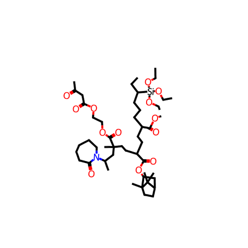 CCO[Si](OCC)(OCC)C(CC)CCCC(CCC(CCC(C)(CC(C)N1CCCCCC1=O)C(=O)OCCOC(=O)CC(C)=O)C(=O)OC1CC2CCC1(C)C2(C)C)C(=O)OC